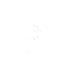 CCOc1nc2c(n1CCC(C)C)C(=O)N(CCCO)C(=O)[C@@H](C)CC2